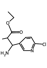 CCOC(=O)C(C)C(N)c1ccc(Cl)nc1